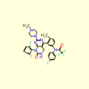 Cc1ccc(N(C(=O)C(F)(F)F)c2ccc(F)cc2)cc1-c1nc(N2CCN(C)CC2)nc2c1CNC(=O)N2c1c(F)cccc1F